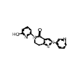 O=C1c2cn(-c3cccnc3)nc2CCN1c1cccc(O)n1